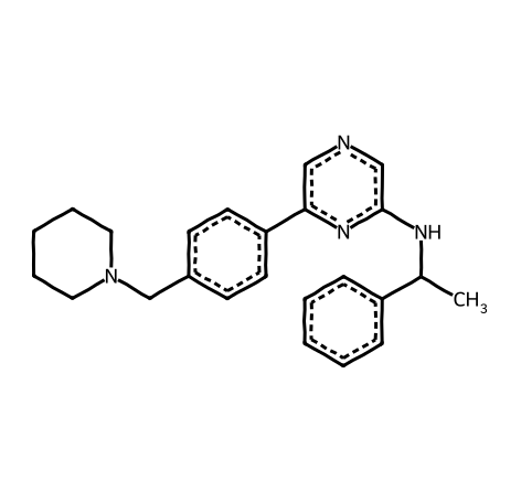 CC(Nc1cncc(-c2ccc(CN3CCCCC3)cc2)n1)c1ccccc1